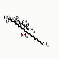 C=CC(N)=O.CCCCCCCCCCCCCCCCCCCCCC(=O)O.CN(C)CCS(=O)(=O)O.N.N